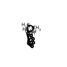 CN1CCCN(C)CCNC(O)C2(C(=O)NCC1)c1c2c2c3ccc4c5ccc6c7ccc8c9ccc%10c1c1c2c2c3c4c3c5c6c4c7c8c5c9c%10c1c1c5c4c3c21